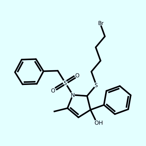 CC1=CC(O)(c2ccccc2)C(SCCCCBr)N1S(=O)(=O)Cc1ccccc1